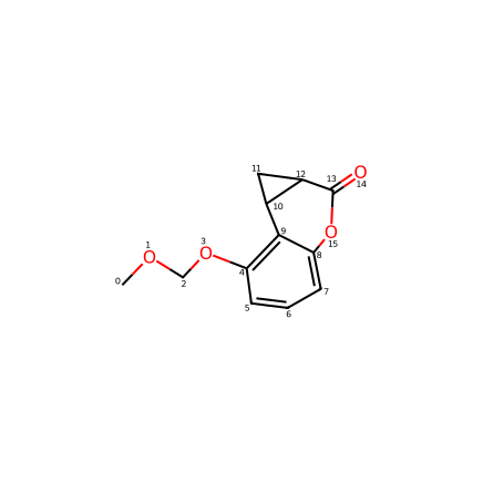 COCOc1cccc2c1C1CC1C(=O)O2